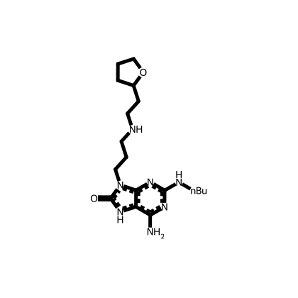 CCCCNc1nc(N)c2[nH]c(=O)n(CCCNCCC3CCCO3)c2n1